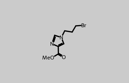 COC(=O)c1cn(CCCBr)cn1